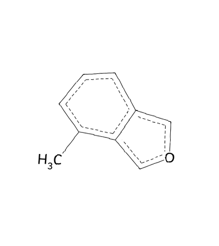 Cc1cccc2cocc12